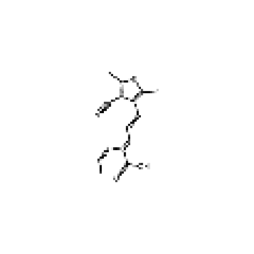 C\C=C/C(=C\C=C\c1c(C)sc(C)c1C#N)C(=O)O